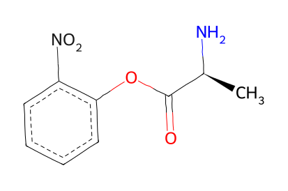 C[C@H](N)C(=O)Oc1ccccc1[N+](=O)[O-]